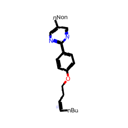 CCCC/C=C\CCOc1ccc(-c2ncc(CCCCCCCCC)cn2)cc1